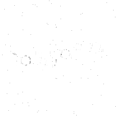 CC1(C)[C@H](NC(=O)c2cnc(N3CC(CN4CCNCC4)C3)cn2)C(C)(C)[C@H]1Oc1ccc(C#N)c(Cl)c1